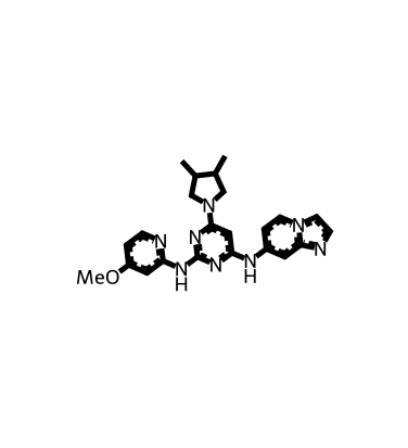 COc1ccnc(Nc2nc(Nc3ccn4ccnc4c3)cc(N3CC(C)C(C)C3)n2)c1